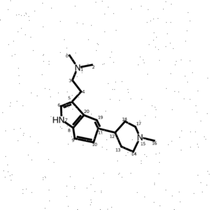 CN(C)CCc1c[nH]c2ccc(C3CCN(C)CC3)cc12